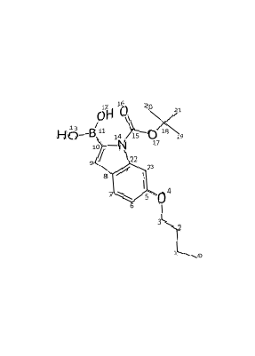 CCCCOc1ccc2cc(B(O)O)n(C(=O)OC(C)(C)C)c2c1